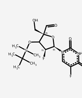 CC(C)(C)[Si](C)(C)OC1[C@H](F)[C@H](n2cc(F)c(=O)[nH]c2=O)O[C@]1(C=O)CO